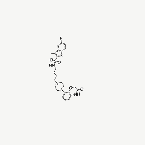 Cc1c(S(=O)(=O)NCCCCN2CCN(c3cccc4c3OCC(=O)N4)CC2)sc2ccc(F)cc12